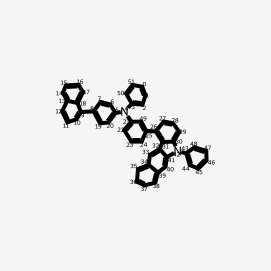 c1ccc(N(c2ccc(-c3cccc4ccccc34)cc2)c2cccc(-c3cccc4c3c3cc5ccccc5cc3n4-c3ccccc3)c2)cc1